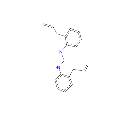 C=CCc1ccccc1[N]C[N]c1ccccc1CC=C